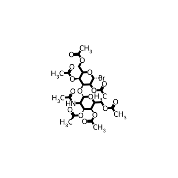 CC(=O)NC1[C@H](O[C@@H]2C(OC(C)=O)[C@@H](Br)OC(COC(C)=O)[C@@H]2OC(C)=O)OC(COC(C)=O)[C@@H](OC(C)=O)[C@@H]1OC(C)=O